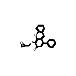 O=c1cc(-c2ccccc2)c2cc3ccccc3oc-2c1OCC1CO1